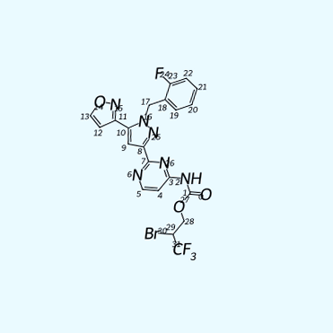 O=C(Nc1ccnc(-c2cc(-c3ccon3)n(Cc3ccccc3F)n2)n1)OCC(Br)C(F)(F)F